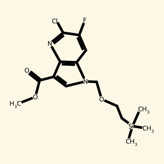 COC(=O)c1cn(COCC[Si](C)(C)C)c2cc(F)c(Cl)nc12